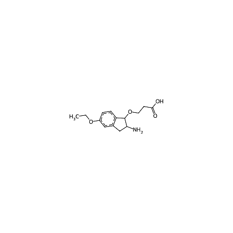 CCOc1ccc2c(c1)CC(N)C2OCCC(=O)O